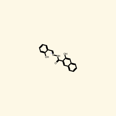 O=C(N/N=C/c1ccccc1O)c1cc2ccccc2cc1O